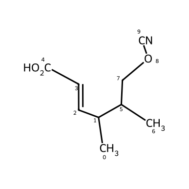 CC(C=CC(=O)O)C(C)COC#N